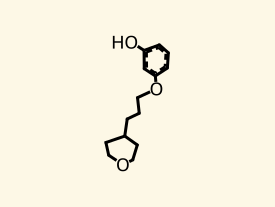 Oc1cccc(OCCCC2CCOCC2)c1